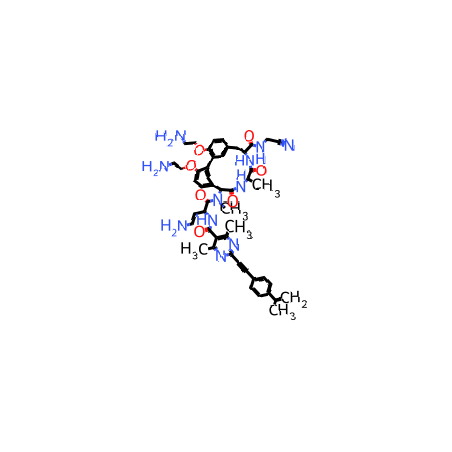 C=C(C)c1ccc(C#Cc2nc(C)c(C(=O)NC(CCN)C(=O)N(C)C3C(=O)NC(C)C(=O)NC(C(=O)NCC#N)Cc4ccc(OCCN)c(c4)-c4cc3ccc4OCCN)c(C)n2)cc1